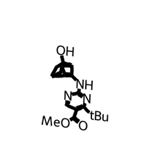 COC(=O)c1cnc(NC2=C3C4CC(O)=C2C3C4)nc1C(C)(C)C